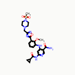 COc1c(Nc2cc(NC(=O)C3CC3)ncc2C(N)=O)cccc1-c1nc(CN2CCN(S(C)(=O)=O)CC2)no1